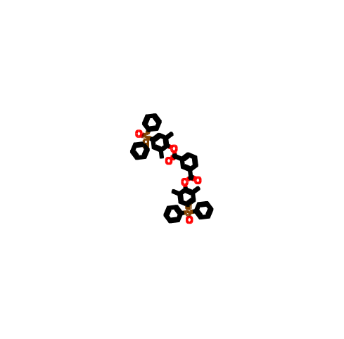 Cc1cc([SH](=O)(c2ccccc2)c2ccccc2)cc(C)c1OC(=O)c1cccc(C(=O)Oc2c(C)cc([SH](=O)(c3ccccc3)c3ccccc3)cc2C)c1